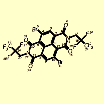 O=C1c2cc(Br)c3c4c(cc(Br)c(c24)C(=O)N1CC(F)(F)C(F)(F)F)C(=O)N(CC(F)(F)C(F)(F)F)C3=O